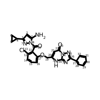 Nc1cc(C2CC2)nn1C(=O)c1c(Cl)cccc1OCc1cc(=O)n2nc(-c3ccccc3)nc2[nH]1